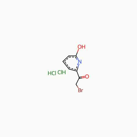 Cl.Cl.O=C(CBr)c1cccc(O)n1